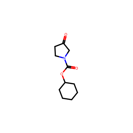 O=C1CCN(C(=O)OC2CCCCC2)C1